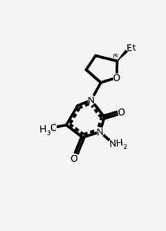 CC[C@@H]1CCC(n2cc(C)c(=O)n(N)c2=O)O1